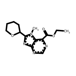 CCOC(=O)c1ncnc2nc(C3CCCCO3)n(C)c12